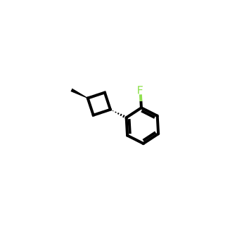 C[C@H]1C[C@H](c2ccccc2F)C1